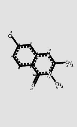 Cc1nc2cc(Cl)ccc2c(=O)n1C